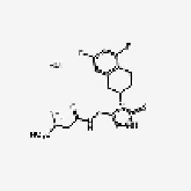 Cl.NC(CC(=O)NCc1c[nH]c(=S)n1C1CCc2c(F)cc(F)cc2C1)C(=O)O